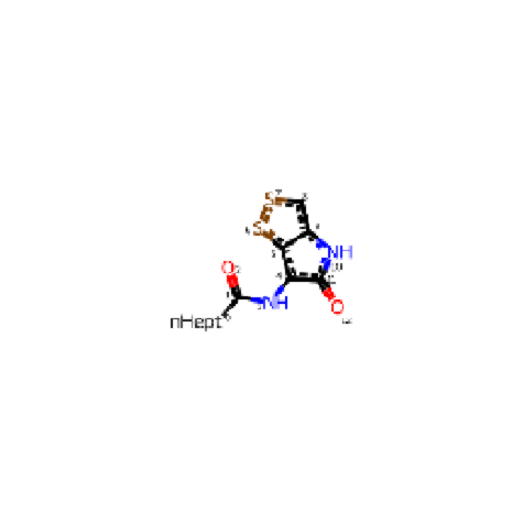 CCCCCCCC(=O)Nc1c2sscc-2[nH]c1=O